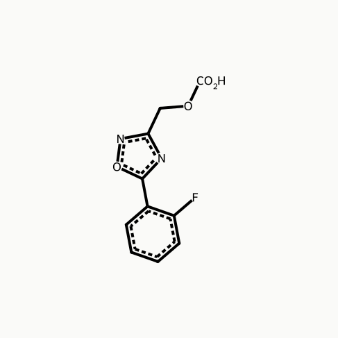 O=C(O)OCc1noc(-c2ccccc2F)n1